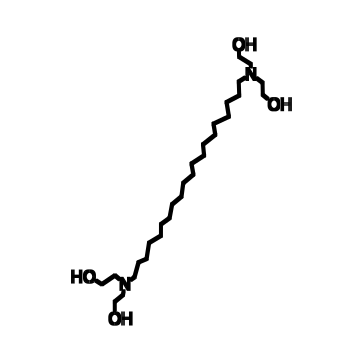 OCCN(CCO)CCCCCCCCCCCCCCCCCCCCN(CCO)CCO